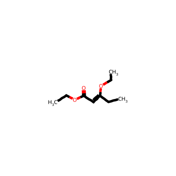 CCOC(=O)C=C(CC)OCC